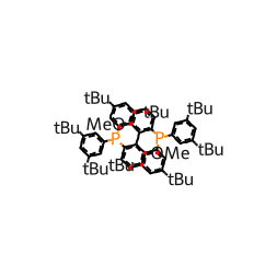 COc1cccc(P(c2cc(C(C)(C)C)cc(C(C)(C)C)c2)c2cc(C(C)(C)C)cc(C(C)(C)C)c2)c1-c1c(OC)cccc1P(c1cc(C(C)(C)C)cc(C(C)(C)C)c1)c1cc(C(C)(C)C)cc(C(C)(C)C)c1